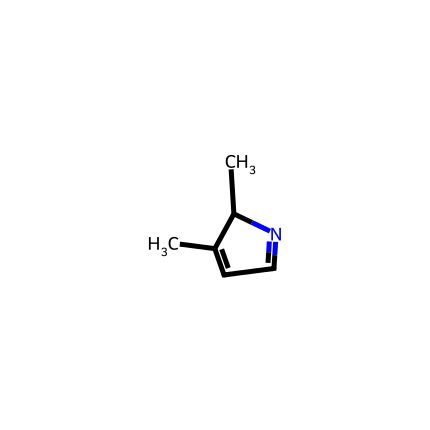 CC1=CC=NC1C